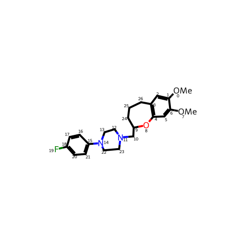 COc1cc2c(cc1OC)OC(CN1CCN(c3ccc(F)cc3)CC1)CCC2